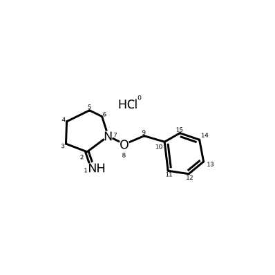 Cl.N=C1CCCCN1OCc1ccccc1